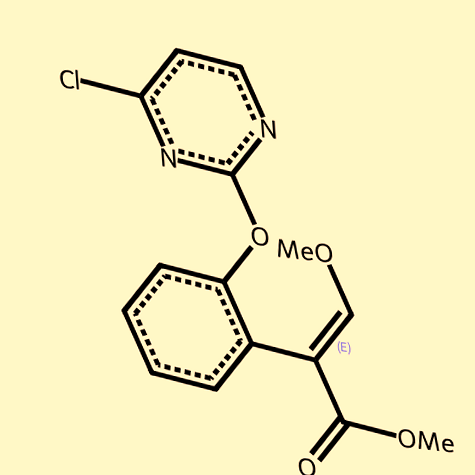 CO/C=C(/C(=O)OC)c1ccccc1Oc1nccc(Cl)n1